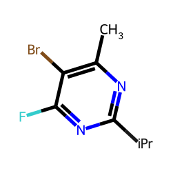 Cc1nc(C(C)C)nc(F)c1Br